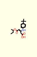 CCC(C)OC(=O)C=C(CC(=O)O)Nc1ccc(C(C)(C)C)cc1